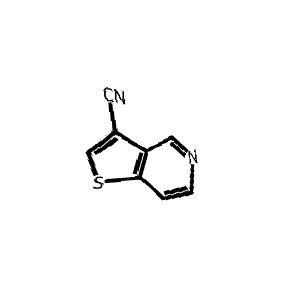 N#Cc1csc2ccncc12